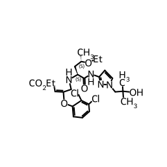 CCOC(=O)C=C(CN[C@@H](C[C@H](C)OCC)C(=O)Nc1ccn(CC(C)(C)O)n1)Oc1cccc(Cl)c1Cl